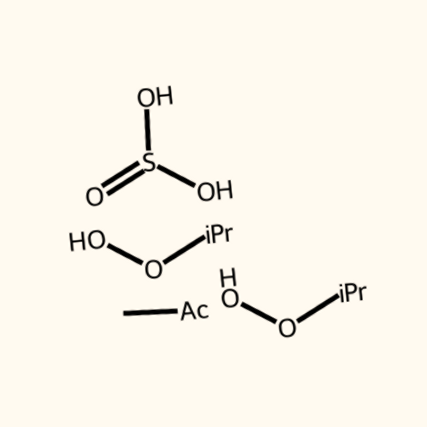 CC(C)=O.CC(C)OO.CC(C)OO.O=S(O)O